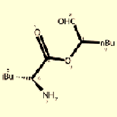 CCCCC(C=O)OC(=O)[C@@H](N)[C@@H](C)CC